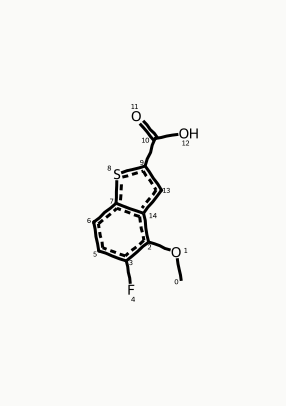 COc1c(F)ccc2sc(C(=O)O)cc12